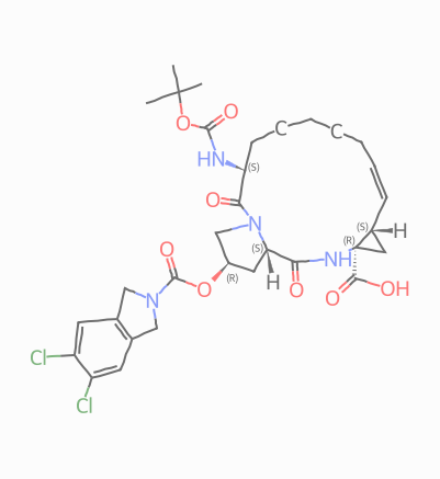 CC(C)(C)OC(=O)N[C@H]1CCCCCC=C[C@@H]2C[C@@]2(C(=O)O)NC(=O)[C@@H]2C[C@@H](OC(=O)N3Cc4cc(Cl)c(Cl)cc4C3)CN2C1=O